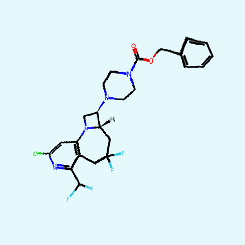 O=C(OCc1ccccc1)N1CCN([C@@H]2CN3c4cc(Cl)nc(C(F)F)c4CC(F)(F)C[C@@H]23)CC1